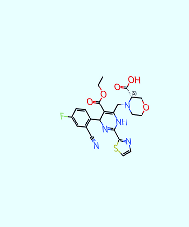 CCOC(=O)C1=C(CN2CCOC[C@H]2C(=O)O)NC(c2nccs2)=NC1c1ccc(F)cc1C#N